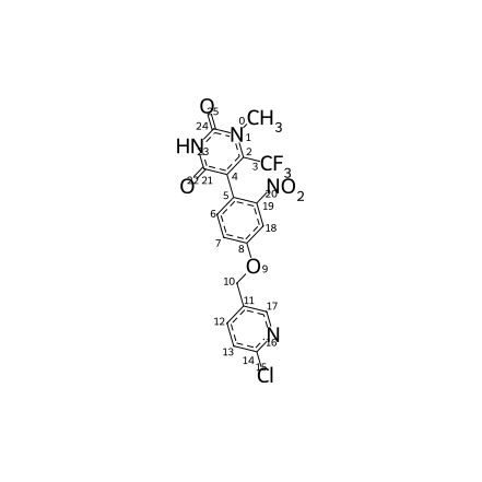 Cn1c(C(F)(F)F)c(-c2ccc(OCc3ccc(Cl)nc3)cc2[N+](=O)[O-])c(=O)[nH]c1=O